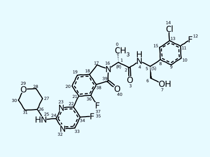 C[C@H](C(=O)N[C@H](CO)c1ccc(F)c(Cl)c1)N1Cc2ccc(-c3nc(NC4CCOCC4)ncc3F)c(F)c2C1=O